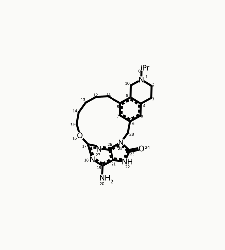 CC(C)N1CCc2cc3cc(c2C1)CCCCCOc1nc(N)c2[nH]c(=O)n(c2n1)C3